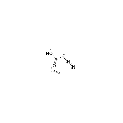 C=C.[N-]=[N+]=CC(=O)O